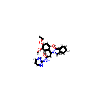 CCOc1ccc(C(CC(=O)Nc2ncccn2)N2Cc3ccccc3C2=O)cc1OC